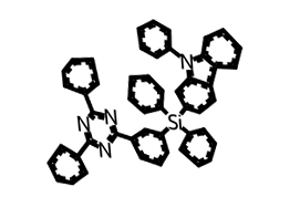 c1ccc(-c2nc(-c3ccccc3)nc(-c3cccc([Si](c4ccccc4)(c4ccccc4)c4ccc5c6ccccc6n(-c6ccccc6)c5c4)c3)n2)cc1